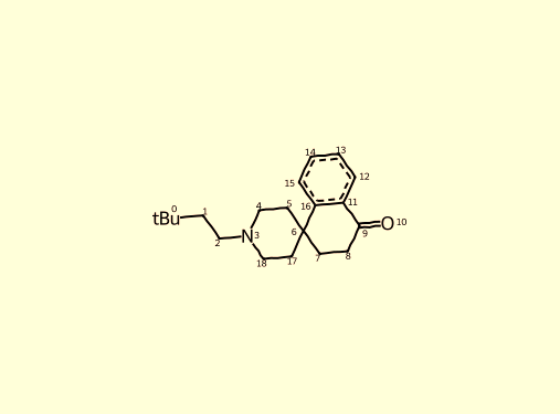 CC(C)(C)CCN1CCC2(CCC(=O)c3ccccc32)CC1